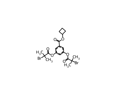 CC(C)(Br)C(=O)Oc1cc(OC(=O)C(C)(C)Br)cc(C(=O)OC2CCC2)c1